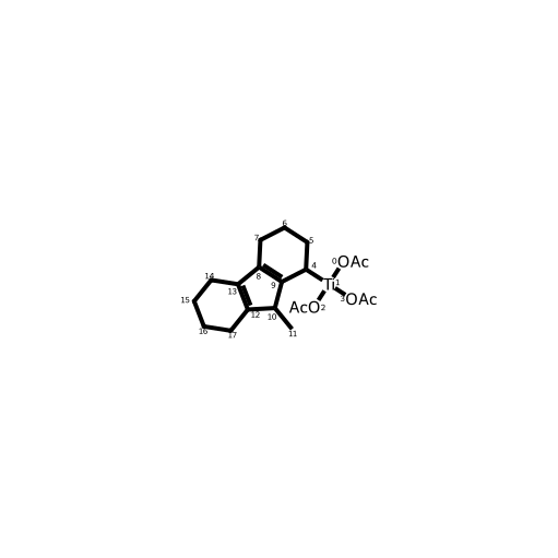 CC(=O)[O][Ti]([O]C(C)=O)([O]C(C)=O)[CH]1CCCC2=C1C(C)C1=C2CCCC1